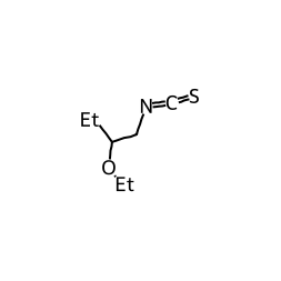 CCOC(CC)CN=C=S